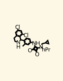 CCCN(CC1CC1)c1c(Nc2ccc(C3NCCc4cc(Cl)cc(Cl)c43)c(C)c2)c(=O)c1=O